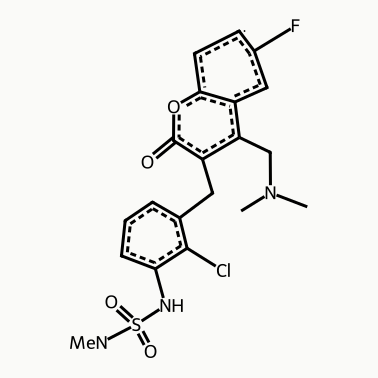 CNS(=O)(=O)Nc1cccc(Cc2c(CN(C)C)c3cc(F)[c]cc3oc2=O)c1Cl